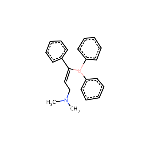 CN(C)C/C=C(\B(c1ccccc1)c1ccccc1)c1ccccc1